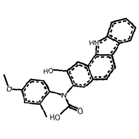 COc1ccc(N(C(=O)O)c2cc3ccc4c5ccccc5[nH]c4c3cc2O)c(C)c1